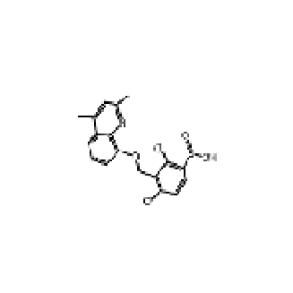 Cc1cc(C)c2cccc(OCc3c(Cl)ccc(S(=O)O)c3Cl)c2n1